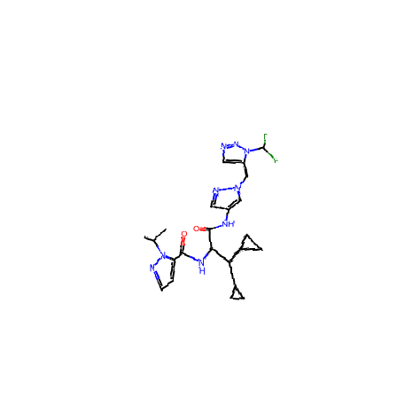 CC(C)n1nccc1C(=O)NC(C(=O)Nc1cnn(Cc2cnnn2C(F)F)c1)C(C1CC1)C1CC1